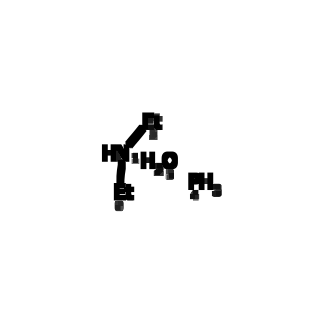 CCNCC.O.P